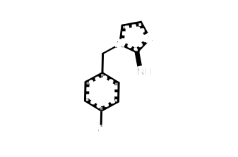 N=c1sccn1Cc1ccc(Cl)cc1